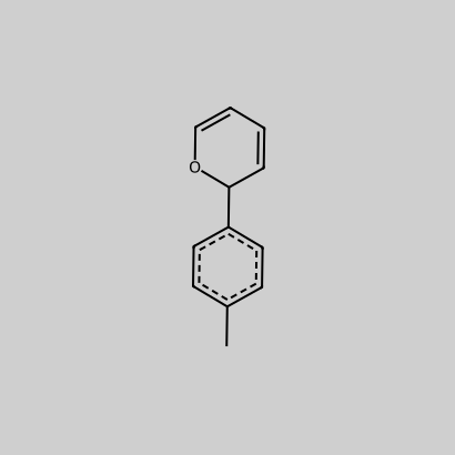 Cc1ccc(C2C=CC=CO2)cc1